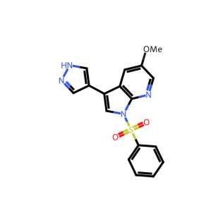 COc1cnc2c(c1)c(-c1cn[nH]c1)cn2S(=O)(=O)c1ccccc1